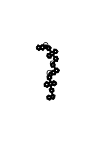 c1cc(-c2cccc(-c3c4ccccc4c(-c4ccc5oc6cc7ccccc7cc6c5c4)c4ccccc34)c2)cc(-c2cccc3cc4c(cc23)oc2ccc(-c3c5ccccc5c(-c5ccc(-c6cccc7ccccc67)cc5)c5ccccc35)cc24)c1